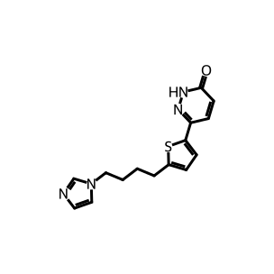 O=c1ccc(-c2ccc(CCCCn3ccnc3)s2)n[nH]1